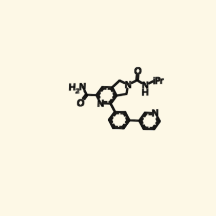 CC(C)NC(=O)N1Cc2cc(C(N)=O)nc(-c3cccc(-c4cccnc4)c3)c2C1